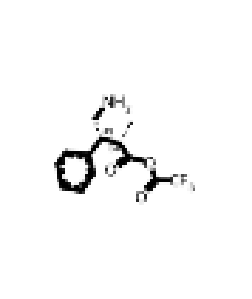 C[C@H](C(=O)OC(=O)C(F)(F)F)[C@@H](CN)c1ccccc1